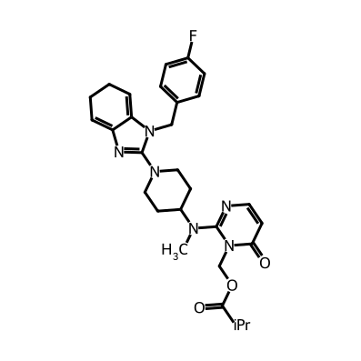 CC(C)C(=O)OCn1c(N(C)C2CCN(c3nc4c(n3Cc3ccc(F)cc3)=CCCC=4)CC2)nccc1=O